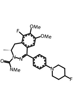 CNC(=O)N1N=C(c2ccc(N3CCC(F)CC3)cc2)c2cc(OC)c(OC)c(F)c2C[C@H]1C